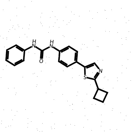 O=C(Nc1ccccc1)Nc1ccc(-c2cnc([C]3CCC3)s2)cc1